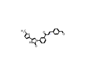 Cc1ccc(-c2cn(-c3cccc(C(=O)/C=C/c4ccc(C=O)cc4)c3)c(=O)[nH]2)s1